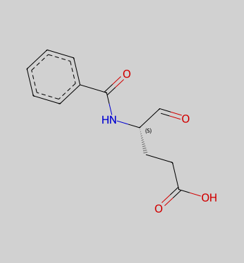 O=C[C@H](CCC(=O)O)NC(=O)c1ccccc1